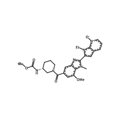 CCn1c(-c2nc3cc(C(=O)N4CCC[C@@H](NC(=O)OC(C)(C)C)C4)cc(OC)c3n2C)cc2ccc[n+]([O-])c21